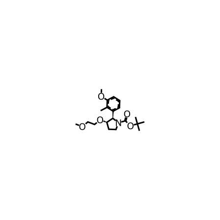 COCCO[C@@H]1CCN(C(=O)OC(C)(C)C)[C@@H]1c1cccc(OC)c1C